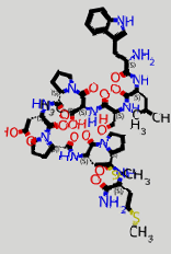 CSCC[C@H](NC(=O)[C@@H]1CCCN1C(=O)[C@H](CCSC)NC(=O)[C@@H]1CCCN1C(=O)[C@H](CC(=O)O)NC(=O)[C@@H]1CCCN1C(=O)[C@@H](NC(=O)[C@H](CO)NC(=O)[C@H](CC(C)C)NC(=O)[C@@H](N)Cc1c[nH]c2ccccc12)[C@@H](C)O)C(N)=O